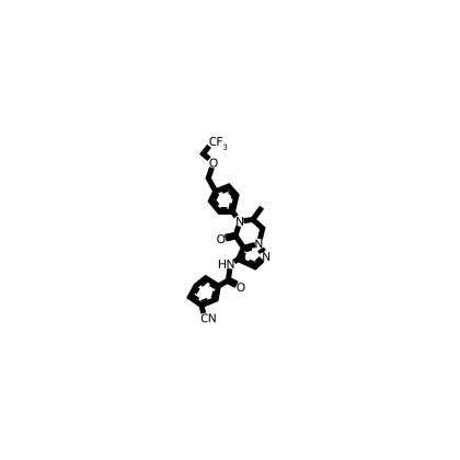 CC1Cn2ncc(NC(=O)c3cccc(C#N)c3)c2C(=O)N1c1ccc(COCC(F)(F)F)cc1